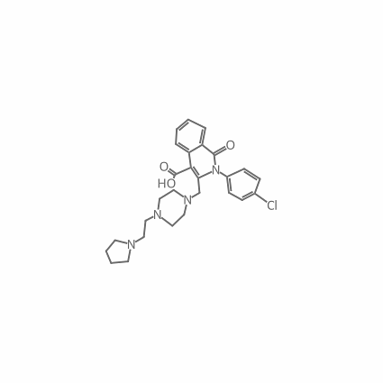 O=C(O)c1c(CN2CCN(CCN3CCCC3)CC2)n(-c2ccc(Cl)cc2)c(=O)c2ccccc12